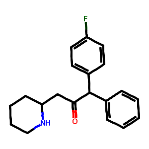 O=C(CC1CCCCN1)C(c1ccccc1)c1ccc(F)cc1